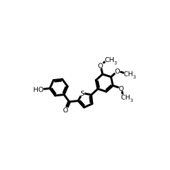 COC1=CC(c2ccc(C(=O)c3cccc(O)c3)s2)=CC(OC)C1OC